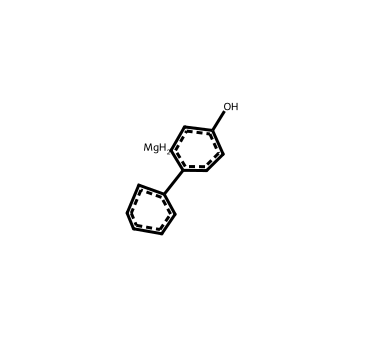 Oc1ccc(-c2ccccc2)cc1.[MgH2]